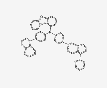 c1ccc(-c2cccc3cc(-c4ccc(N(c5ccc(-c6cccc7ccccc67)cc5)c5cccc6oc7ccccc7c56)cc4)ccc23)cc1